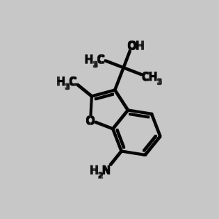 Cc1oc2c(N)cccc2c1C(C)(C)O